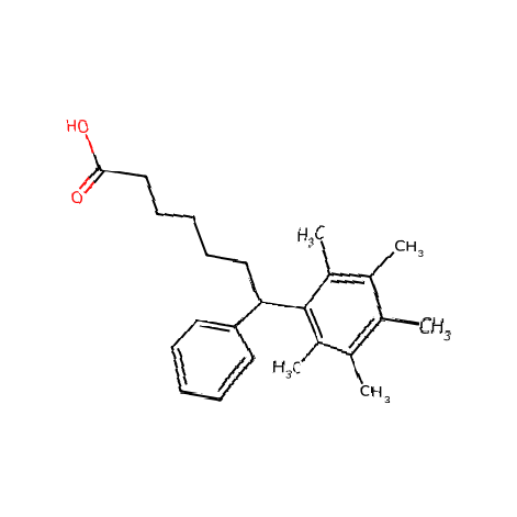 Cc1c(C)c(C)c(C(CCCCCC(=O)O)c2ccccc2)c(C)c1C